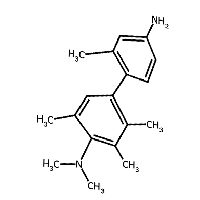 Cc1cc(N)ccc1-c1cc(C)c(N(C)C)c(C)c1C